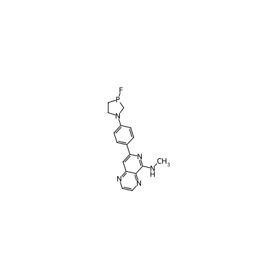 CNc1nc(-c2ccc(N3CCP(F)C3)cc2)cc2nccnc12